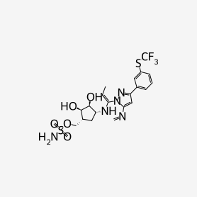 C=Nc1cc(-c2cccc(SC(F)(F)F)c2)nn1/C(=C\C)N[C@@H]1C[C@H](COS(N)(=O)=O)[C@@H](O)[C@H]1O